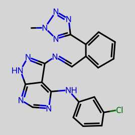 Cn1nnc(-c2ccccc2C=Nc2n[nH]c3ncnc(Nc4cccc(Cl)c4)c23)n1